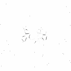 CN(C(=O)COc1ccc(NS(C)(=O)=O)c2ncccc12)[C@H](CN1CC[C@H](O)C1)c1cccc(N)c1